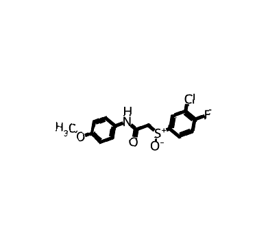 COc1ccc(NC(=O)C[S@@+]([O-])c2ccc(F)c(Cl)c2)cc1